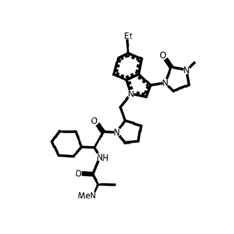 CCc1ccc2c(c1)c(N1CCN(C)C1=O)cn2CC1CCCN1C(=O)C(NC(=O)C(C)NC)C1CCCCC1